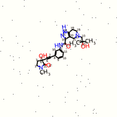 CN1CC[C@@](O)(C#Cc2cccc(NC(=O)c3n[nH]c4c3CN(CC(C)(C)O)CC4)c2)C1=O